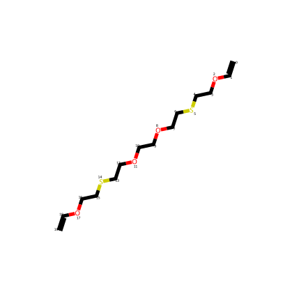 C=COCCSCCOCCOCCSCCOC=C